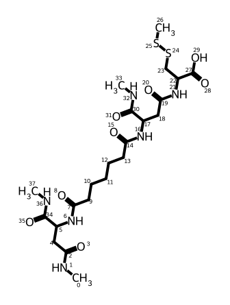 CNC(=O)CC(NC(=O)CCCCCC(=O)NC(CC(=O)NC(CSSC)C(=O)O)C(=O)NC)C(=O)NC